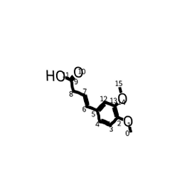 COc1ccc(C=CCC(=O)O)cc1OC